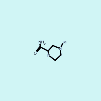 CC(C)N1CC[N]C(C(N)=O)C1